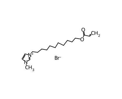 C=CC(=O)OCCCCCCCCCCC[n+]1ccn(C)c1.[Br-]